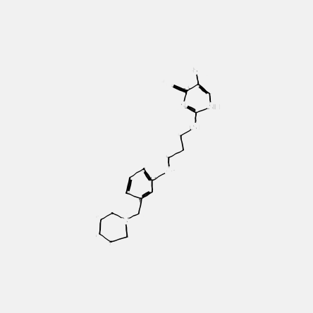 Nc1c[nH]c(NCCCOc2cccc(CN3CCCCC3)c2)nc1=O